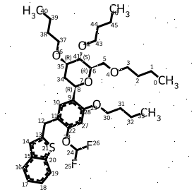 CCCCOC[C@H]1O[C@@H](c2cc(Cc3cc4ccccc4s3)c(OC(F)F)cc2OCCCC)C[C@@H](OCCCC)[C@@H]1OCCCC